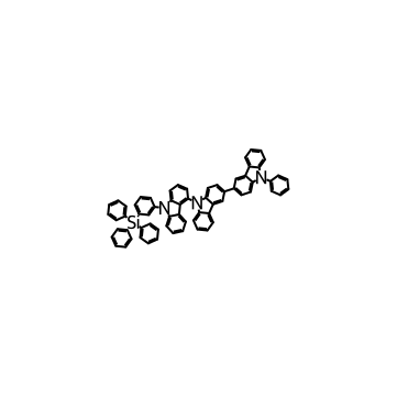 c1ccc(-n2c3ccccc3c3cc(-c4ccc5c(c4)c4ccccc4n5-c4cccc5c4c4ccccc4n5-c4cccc([Si](c5ccccc5)(c5ccccc5)c5ccccc5)c4)ccc32)cc1